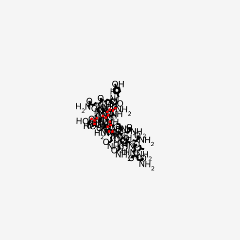 CC(C)C[C@H](NC(=O)[C@@H](N)CC(N)=O)C(=O)N[C@@H](CCC(N)=O)C(=O)N[C@@H](CCC(N)=O)C(=O)N[C@@H](CCC(N)=O)C(=O)N[C@@H](CCC(N)=O)C(=O)N[C@@H](CCC(N)=O)C(=O)N[C@@H](CCC(N)=O)C(=O)N[C@@H](CCC(N)=O)C(=O)N[C@@H](CCC(N)=O)C(=O)N[C@@H](CCC(N)=O)C(=O)NCC(=O)N[C@@H](Cc1ccc(O)cc1)C(=O)NCC(=O)N[C@@H](CCCNC(=N)N)C(=O)NCC(=O)N[C@@H](CC(=O)O)C(=O)O